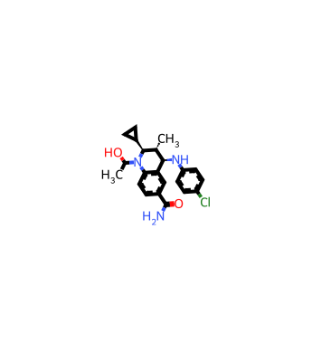 CC(O)N1c2ccc(C(N)=O)cc2[C@H](Nc2ccc(Cl)cc2)[C@@H](C)[C@@H]1C1CC1